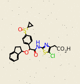 O=C(O)Cc1nc(NC(=O)C(OC2CCc3ccccc32)c2ccc([S+]([O-])C3CC3)cc2)sc1Cl